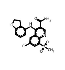 CS(=O)(=O)c1cc(Cl)cc2c(Nc3cccc4c3CCO4)c(C(N)=O)cnc12